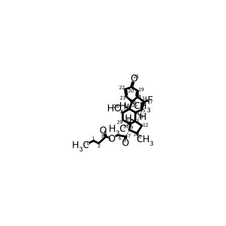 CCCC(=O)OCC(=O)[C@H]1[C@H](C)C[C@H]2[C@@H]3C=C(F)C4=CC(=O)C=C[C@]4(C)[C@H]3[C@@H](O)C[C@@]21C